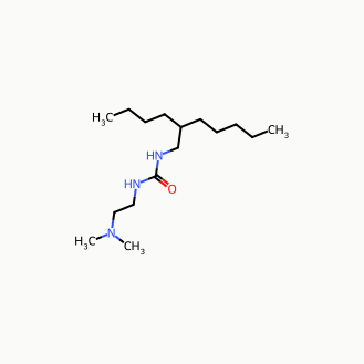 CCCCCC(CCCC)CNC(=O)NCCN(C)C